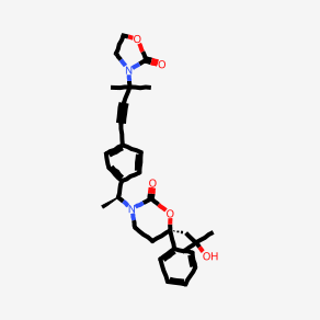 C[C@@H](c1ccc(C#CC(C)(C)N2CCOC2=O)cc1)N1CC[C@](CC(C)(C)O)(c2ccccc2)OC1=O